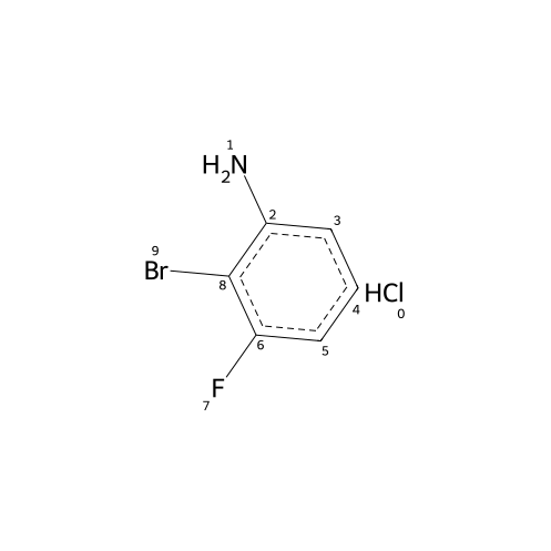 Cl.Nc1cccc(F)c1Br